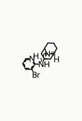 CN1C2CCC[C@@H]1CC(Nc1ncccc1Br)C2